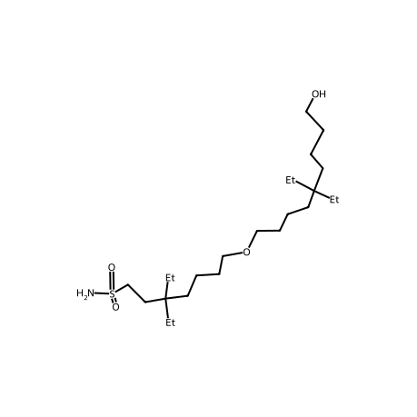 CCC(CC)(CCCCO)CCCCOCCCCC(CC)(CC)CCS(N)(=O)=O